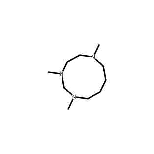 CN1CCCCN(C)CN(C)CC1